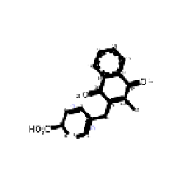 C/C=C(\C=C/C(C)C(=O)O)CC1=C(C)C(=O)c2ccccc2C1=O